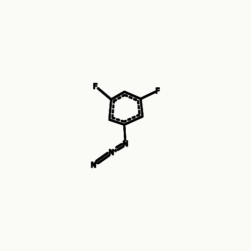 [N-]=[N+]=Nc1cc(F)cc(F)c1